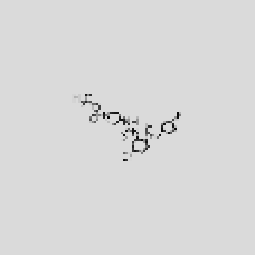 CCOC(=O)N1CCC(NC(=S)Nc2cc(Cl)ccc2NCc2ccc(F)cc2)CC1